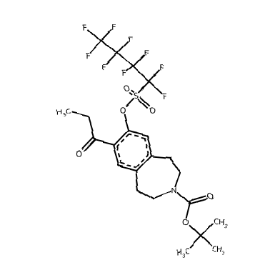 CCC(=O)c1cc2c(cc1OS(=O)(=O)C(F)(F)C(F)(F)C(F)(F)C(F)(F)F)CCN(C(=O)OC(C)(C)C)CC2